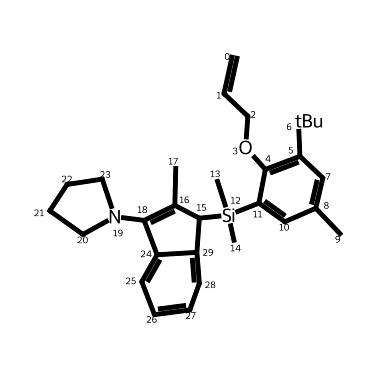 C=CCOc1c(C(C)(C)C)cc(C)cc1[Si](C)(C)C1C(C)=C(N2CCCC2)c2ccccc21